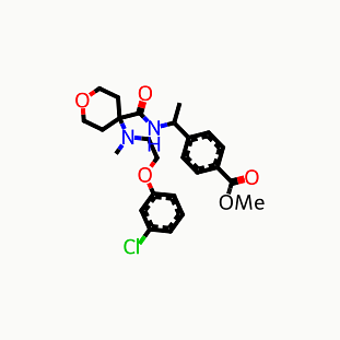 COC(=O)c1ccc(C(C)NC(=O)C2(N(C)CCOc3cccc(Cl)c3)CCOCC2)cc1